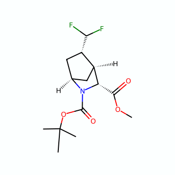 COC(=O)[C@H]1[C@H]2C[C@H](C[C@@H]2C(F)F)N1C(=O)OC(C)(C)C